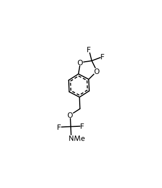 CNC(F)(F)OCc1ccc2c(c1)OC(F)(F)O2